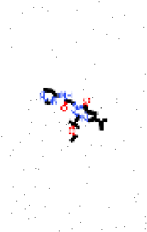 CCOC(C)(C)c1nn(CC(=O)Nc2ccncn2)c(=O)c2cc(C(C)C)cn12